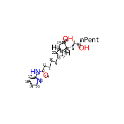 CCCCC[C@H](O)/C=C/[C@@H]1[C@H]2CC(CCCCC(=O)Nc3ccccn3)=C[C@H]2C[C@H]1O